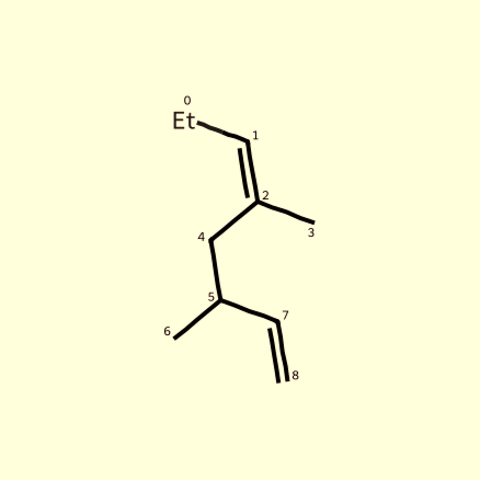 [CH2]CC=C(C)CC(C)C=C